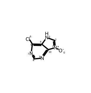 [O-][n+]1c[nH]c2c(Cl)ncnc21